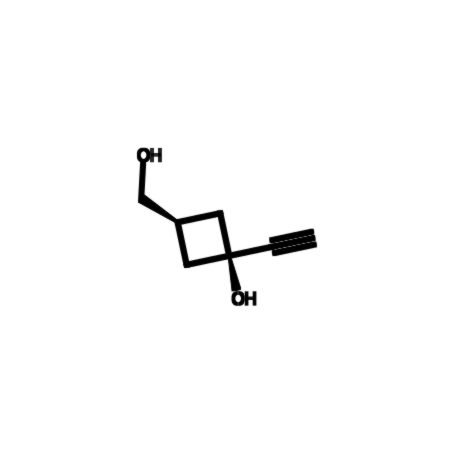 C#C[C@]1(O)C[C@@H](CO)C1